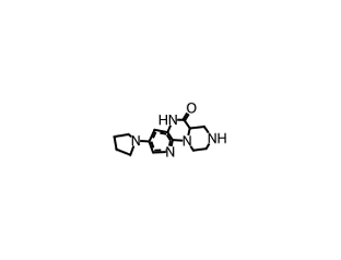 O=C1Nc2cc(N3CCCC3)cnc2N2CCNCC12